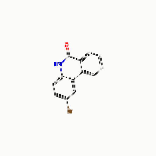 O=c1[nH]c2ccc(Br)cc2c2ccccc12